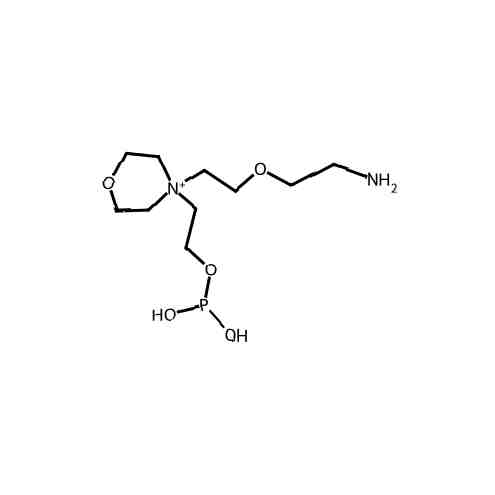 NCCOCC[N+]1(CCOP(O)O)CCOCC1